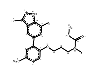 COc1cc(-c2cc3c(Br)n[nH]c3c(C)n2)c(OCCCN(C)C(=O)OC(C)(C)C)cn1